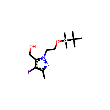 Cc1nn(CCO[Si](C)(C)C(C)(C)C)c(CO)c1I